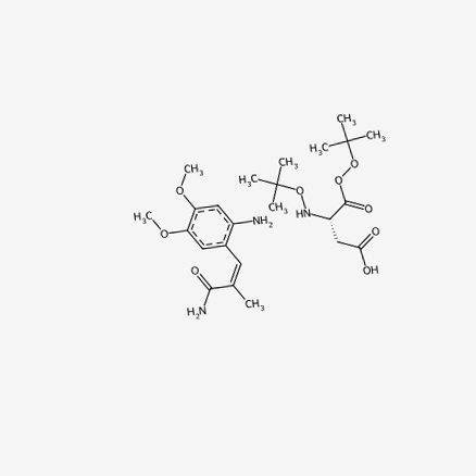 CC(C)(C)ON[C@@H](CC(=O)O)C(=O)OOC(C)(C)C.COc1cc(N)c(C=C(C)C(N)=O)cc1OC